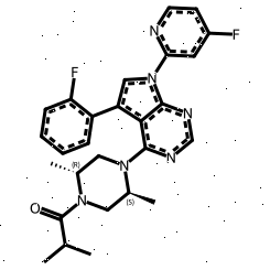 CC(C)C(=O)N1C[C@H](C)N(c2ncnc3c2c(-c2ccccc2F)cn3-c2cc(F)ccn2)C[C@H]1C